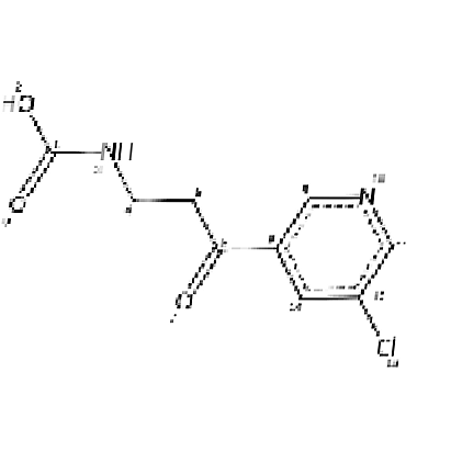 O=C(O)NCCC(=O)c1cncc(Cl)c1